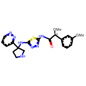 COc1cccc([C@H](OC)C(=O)Nc2nnc(NC3(c4cccnn4)CCNC3)s2)c1